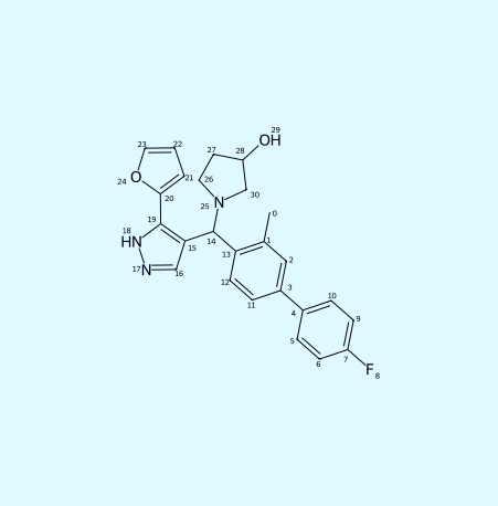 Cc1cc(-c2ccc(F)cc2)ccc1C(c1cn[nH]c1-c1ccco1)N1CCC(O)C1